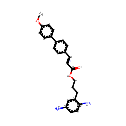 N#COc1ccc(-c2ccc(/C=C/C(=O)OCCCc3cc(N)ccc3N)cc2)cc1